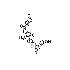 Cc1c2c(cc(Cl)c1C(=O)C[C@H](C=O)CN/C(=N\C#N)N1CC[C@H](O)C1)CN(C(=O)c1cc3[nH]ncc3s1)CC2